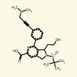 CN(C)CC#Cc1cccc(-c2nc(C(=O)O)cc3c2C(CCO)N([S@+]([O-])C(C)(C)C)C3)c1